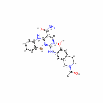 COc1cc2c(cc1Nc1ncc(C(N)=O)c(Nc3ccccc3Br)n1)CN(C(C)=O)CC2